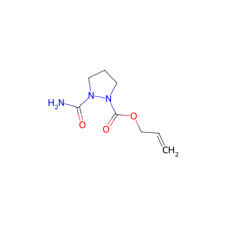 C=CCOC(=O)N1CCCN1C(N)=O